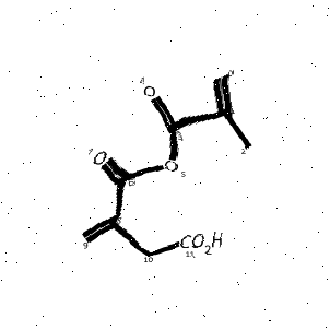 C=C(C)C(=O)OC(=O)C(=C)CC(=O)O